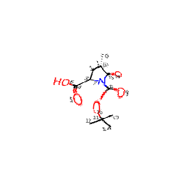 C[C@H]1CC(C(=O)O)N(C(=O)OC(C)(C)C)C1=O